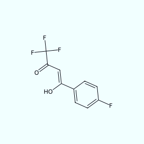 O=C(C=C(O)c1ccc(F)cc1)C(F)(F)F